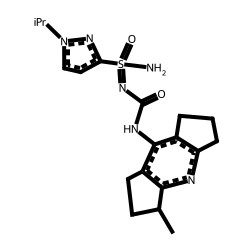 CC1CCc2c1nc1c(c2NC(=O)N=S(N)(=O)c2ccn(C(C)C)n2)CCC1